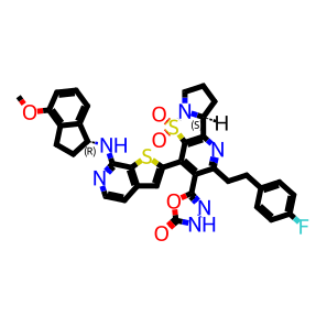 COc1cccc2c1CC[C@H]2Nc1nccc2cc(-c3c(-c4n[nH]c(=O)o4)c(CCc4ccc(F)cc4)nc4c3S(=O)(=O)N3CCC[C@@H]43)sc12